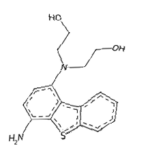 Nc1ccc(N(CCO)CCO)c2c1sc1ccccc12